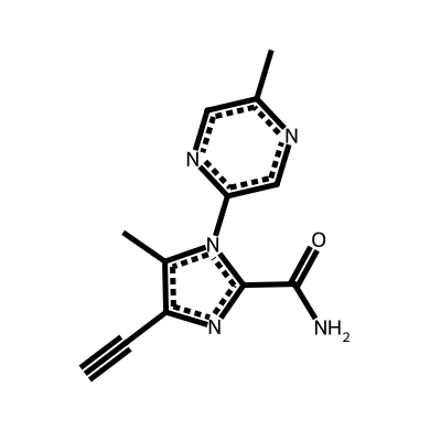 C#Cc1nc(C(N)=O)n(-c2cnc(C)cn2)c1C